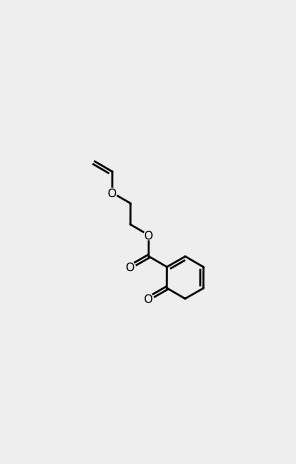 C=COCCOC(=O)C1=CC=CCC1=O